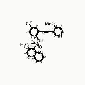 COc1ccncc1C#Cc1cc(Cl)ccc1NS(=O)(=O)c1c(C)ccc2cccnc12